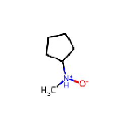 C[NH+]([O-])C1CCCC1